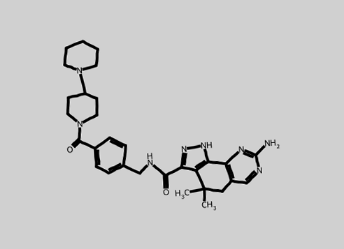 CC1(C)Cc2cnc(N)nc2-c2[nH]nc(C(=O)NCc3ccc(C(=O)N4CCC(N5CCCCC5)CC4)cc3)c21